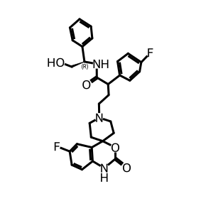 O=C1Nc2ccc(F)cc2C2(CCN(CCC(C(=O)N[C@@H](CO)c3ccccc3)c3ccc(F)cc3)CC2)O1